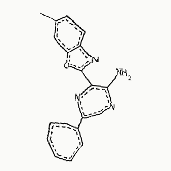 Cc1ccc2nc(-c3nc(-c4ccccc4)cnc3N)oc2c1